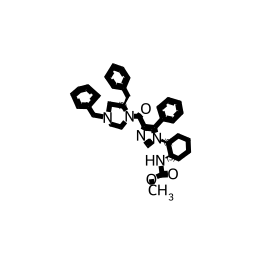 COC(=O)N[C@H]1CCCC[C@@H]1n1cnc(C(=O)N2CCN(Cc3ccccc3)C[C@H]2Cc2ccccc2)c1-c1ccccc1